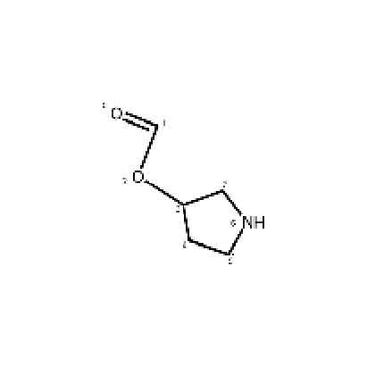 O=COC1C[CH]NC1